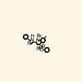 Cc1ccc2c(S(=O)(=O)Oc3ccccc3)cc(-c3cnc(-c4ccccc4)[nH]3)nc2c1Br